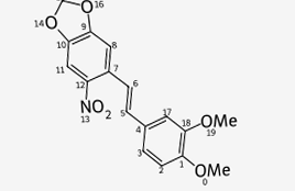 COc1ccc(C=Cc2cc3c(cc2[N+](=O)[O-])OCO3)cc1OC